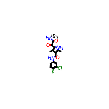 Cc1[nH]c(C(=O)C(=O)NC(C)(C)C)c(C)c1C(=O)Nc1ccc(F)c(Cl)c1